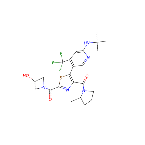 CC1CCCN1C(=O)c1nc(C(=O)N2CC(O)C2)sc1-c1cnc(NC(C)(C)C)cc1C(F)(F)F